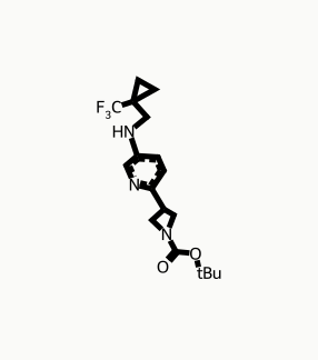 CC(C)(C)OC(=O)N1CC(c2ccc(NCC3(C(F)(F)F)CC3)cn2)C1